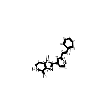 O=C1NCCc2[nH]c(-c3ccnc(/C=C/c4ccccc4)c3)nc21